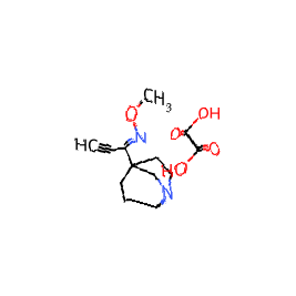 C#CC(=NOC)C12CCCN(CC1)C2.O=C(O)C(=O)O